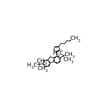 C=CCCCC1=CCC(c2c(C(C)(C)C)ccc3c2[CH]c2cc(C(C)(C)C)ccc2-3)=C1